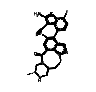 C[C@@H]1CN2C(=O)c3cc(F)c(-c4ccc(F)c5sc(N)c(C#N)c45)c4cnn(c34)CCC2CN1